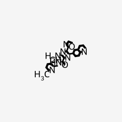 Cc1ccc(C)c(CNC(=O)c2nc(-c3ccc4ncccc4c3)c(-c3ncco3)nc2N)n1